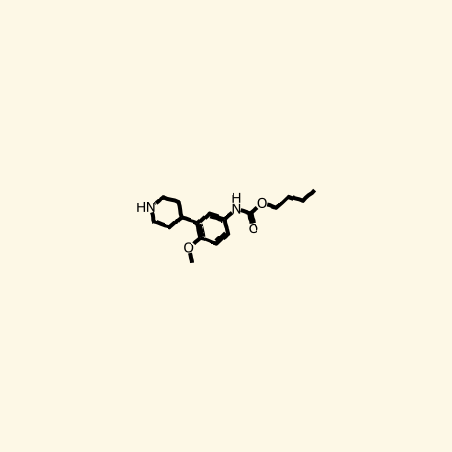 CCCCOC(=O)Nc1ccc(OC)c(C2CCNCC2)c1